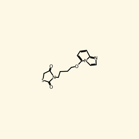 O=C1CSC(=O)N1CCCCOc1cccc2nccn12